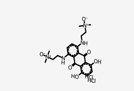 C[N+](C)([O-])CCNc1ccc(NCC[N+](C)(C)[O-])c2c1C(=O)c1c(O)ccc(O)c1C2=O.Cl.Cl